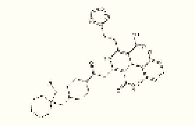 NCC1(CN2CCN(C(=O)CC3=C(C(=O)O)C(c4c(Cl)cccc4Cl)C(C(=O)O)=C(CCc4nccs4)N3)CC2)CCCCC1